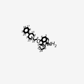 CC1(c2ccccc2OCCN2CCC(c3ccccc3)CC2)SCCN1C(N)=O